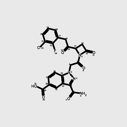 NC(=O)c1nn(CC(=O)N2C(=O)CC2C(=O)Cc2cccc(Cl)c2F)c2ccc(C(=O)O)cc12